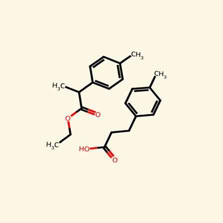 CCOC(=O)C(C)c1ccc(C)cc1.Cc1ccc(CCC(=O)O)cc1